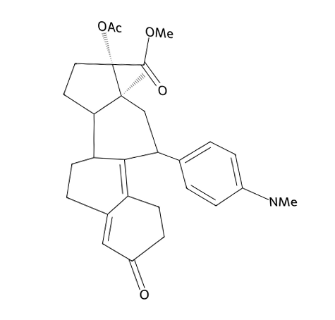 CNc1ccc(C2C[C@@]3(C)C(CC[C@@]3(OC(C)=O)C(=O)OC)C3CCC4=CC(=O)CCC4=C23)cc1